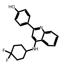 Oc1ccc(-c2cc(NC3CCC(F)(F)CC3)c3ccccc3n2)cc1